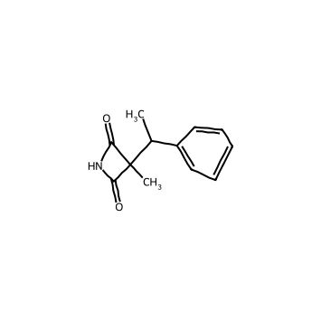 CC(c1ccccc1)C1(C)C(=O)NC1=O